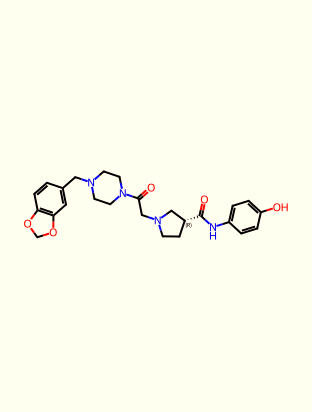 O=C(Nc1ccc(O)cc1)[C@@H]1CCN(CC(=O)N2CCN(Cc3ccc4c(c3)OCO4)CC2)C1